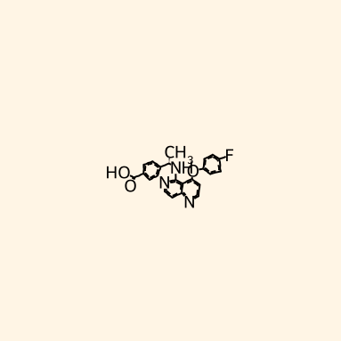 C[C@H](Nc1nccc2nccc(Oc3ccc(F)cc3)c12)c1ccc(C(=O)O)cc1